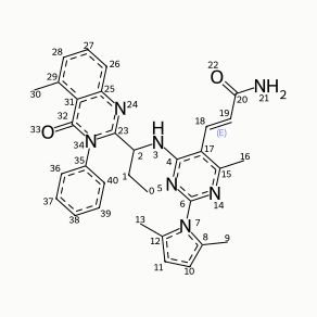 CCC(Nc1nc(-n2c(C)ccc2C)nc(C)c1/C=C/C(N)=O)c1nc2cccc(C)c2c(=O)n1-c1ccccc1